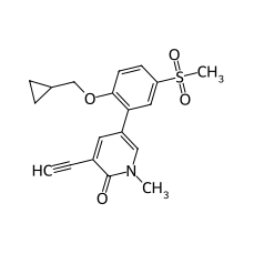 C#Cc1cc(-c2cc(S(C)(=O)=O)ccc2OCC2CC2)cn(C)c1=O